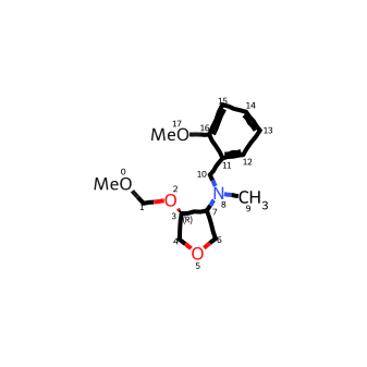 COCO[C@H]1COCC1N(C)Cc1ccccc1OC